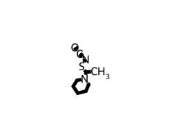 CC(SN=C=O)N1CCCCC1